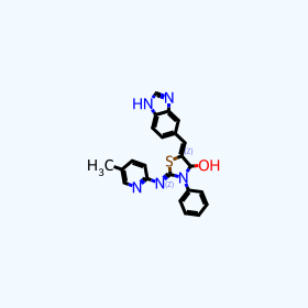 Cc1ccc(/N=C2\S/C(=C\c3ccc4[nH]cnc4c3)C(O)N2c2ccccc2)nc1